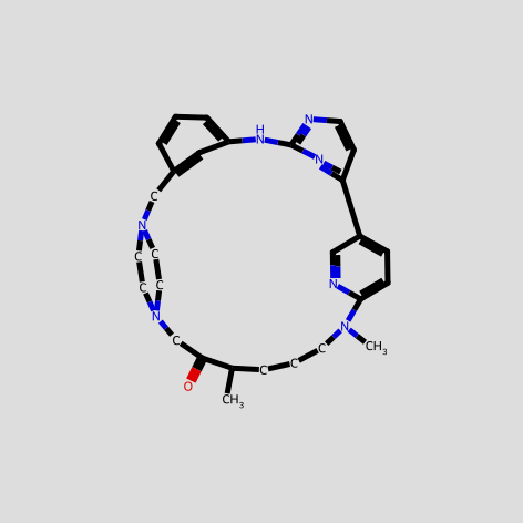 CC1CCCN(C)c2ccc(cn2)-c2ccnc(n2)Nc2cccc(c2)CN2CCN(CC2)CC1=O